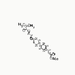 C=C(C)C(=O)OCCOC1CCC(c2ccc(/C=C/C(=O)OC)cc2)CC1